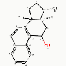 CC[C@H]1CC[C@H]2c3ccc4ccccc4c3C(O)C[C@]12C